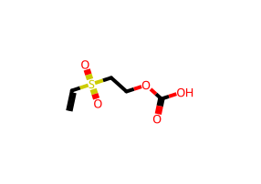 C=CS(=O)(=O)CCOC(=O)O